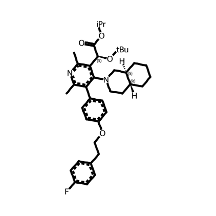 Cc1nc(C)c([C@H](OC(C)(C)C)C(=O)OC(C)C)c(N2CC[C@H]3CCCC[C@@H]3C2)c1-c1ccc(OCCc2ccc(F)cc2)cc1